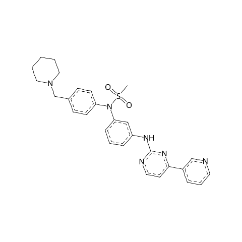 CS(=O)(=O)N(c1ccc(CN2CCCCC2)cc1)c1cccc(Nc2nccc(-c3cccnc3)n2)c1